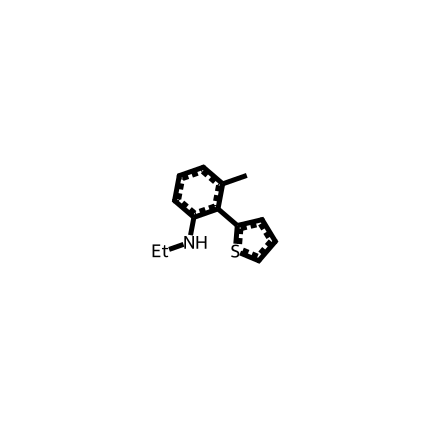 CCNc1cccc(C)c1-c1cccs1